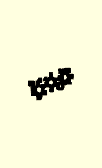 CC1C(c2ccc3c(c2)oc2ccccc23)=CC=C[C@@H]1C